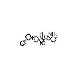 N#CC1(NC(=O)[CH]CC2(C(N)=O)CCCCC2)CCN(c2cccc(-c3ccccc3)c2)CC1